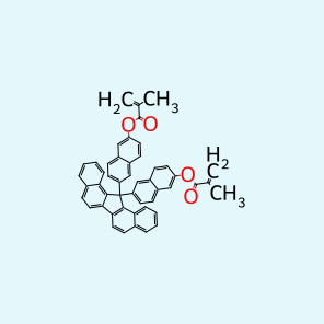 C=C(C)C(=O)Oc1ccc2cc(C3(c4ccc5cc(OC(=O)C(=C)C)ccc5c4)c4c(ccc5ccccc45)-c4ccc5ccccc5c43)ccc2c1